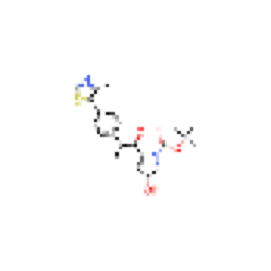 Cc1ncsc1-c1ccc([C@H](C)C(=O)C2=C[C@@H](O)CN2C(=O)OC(C)(C)C)cc1